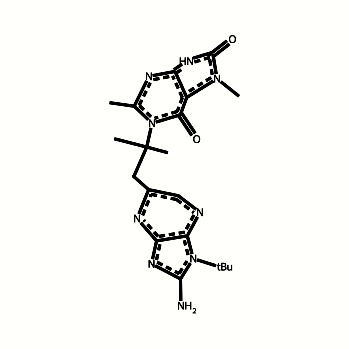 Cc1nc2[nH]c(=O)n(C)c2c(=O)n1C(C)(C)Cc1cnc2c(n1)nc(N)n2C(C)(C)C